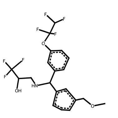 COCc1cccc(C(NCC(O)C(F)(F)F)c2cccc(OC(F)(F)C(F)F)c2)c1